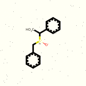 O=C(O)C(c1ccccc1)[S@+]([O-])Cc1ccccc1